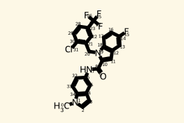 Cn1ccc2cc(NC(=O)c3cc4cc(F)ccc4n3Cc3cc(C(F)(F)F)ccc3Cl)ccc21